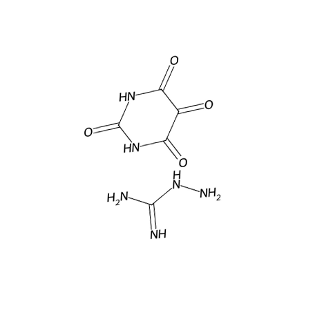 N=C(N)NN.O=C1NC(=O)C(=O)C(=O)N1